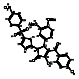 COc1ccc(C2C(C(=O)c3ccc(Cl)cc3)=C(O)C(=O)N2c2ncc(S(=O)(=O)c3ccc([N+](=O)[O-])cc3)s2)cc1OC